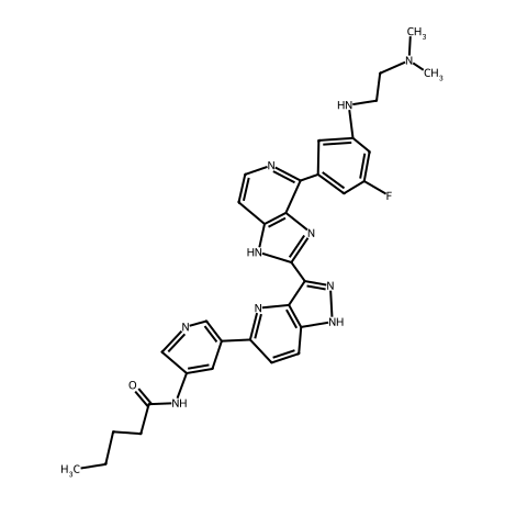 CCCCC(=O)Nc1cncc(-c2ccc3[nH]nc(-c4nc5c(-c6cc(F)cc(NCCN(C)C)c6)nccc5[nH]4)c3n2)c1